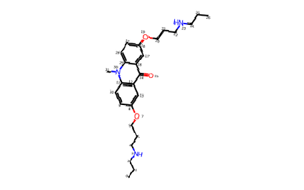 CCCNCCCOc1ccc2c(c1)c(=O)c1cc(OCCCNCCC)ccc1n2C